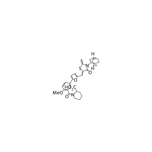 COc1ccc(-c2ccc(C=C3SC(=S)N(C4C[C@H]5CC[C@H]4C5)C3=O)o2)cc1C(=O)N1CCCCC1C(=O)O